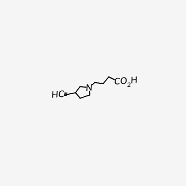 C#CC1CCN(CCCC(=O)O)C1